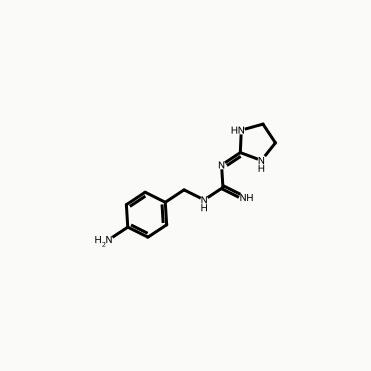 N=C(N=C1NCCN1)NCc1ccc(N)cc1